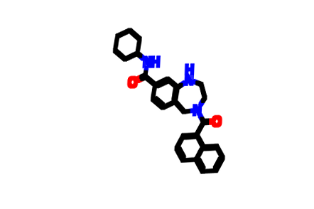 O=C(NC1CCCCC1)c1ccc2c(c1)NCCN(C(=O)c1cccc3ccccc13)C2